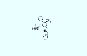 Cl.Cl.FC(F)(F)c1cc(CNCN2CCCCC2)cc(C(F)(F)F)c1-c1ccccc1